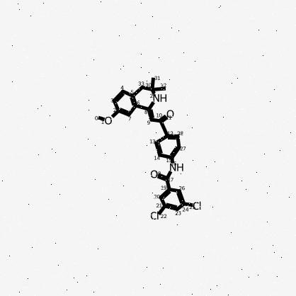 COc1ccc2c(c1)C(=CC(=O)c1ccc(NC(=O)c3cc(Cl)cc(Cl)c3)cc1)NC(C)(C)C2